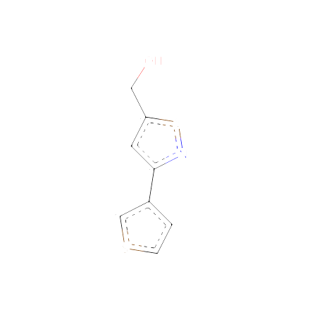 OCc1cc(-c2ccsc2)ns1